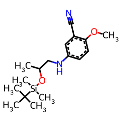 COc1ccc(NCC(C)O[Si](C)(C)C(C)(C)C)cc1C#N